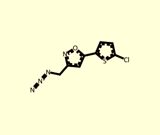 [N-]=[N+]=NCc1cc(-c2ccc(Cl)s2)on1